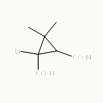 [Li][C]1(C(=O)O)C(C(=O)O)C1(C)C